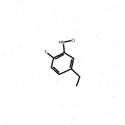 CCc1ccc(F)c(NCl)c1